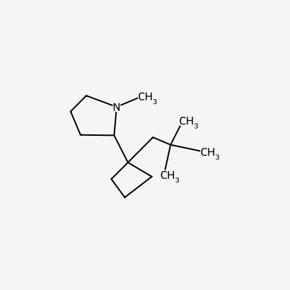 CN1CCCC1C1(CC(C)(C)C)CCC1